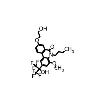 CCCCn1c(=O)c2cc(OCCO)ccc2c2cc(C(O)(C(F)(F)F)C(F)(F)F)cc(OC)c21